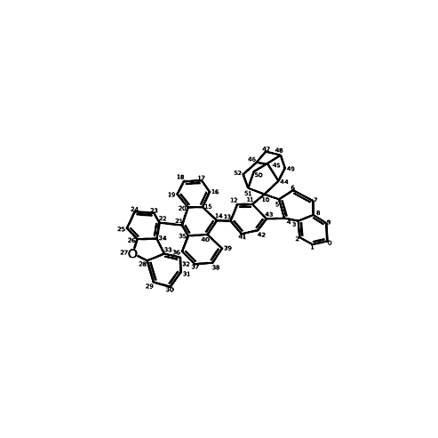 c1ccc2c3c(ccc2c1)C1(c2cc(-c4c5ccccc5c(-c5cccc6oc7ccccc7c56)c5ccccc45)ccc2-3)C2CC3CC(C2)CC1C3